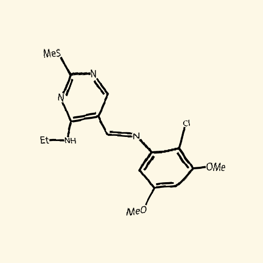 CCNc1nc(SC)ncc1C=Nc1cc(OC)cc(OC)c1Cl